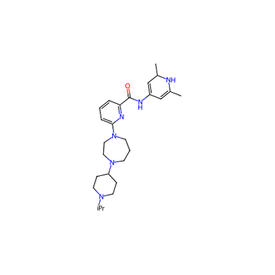 CC1=CC(NC(=O)c2cccc(N3CCCN(C4CCN(C(C)C)CC4)CC3)n2)=CC(C)N1